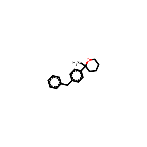 [SiH3]C1(c2ccc(Cc3ccccc3)cc2)CCCCO1